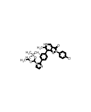 CCOC(O[Si](C)(C)C)n1ccnc1-c1ccc(-c2c3nn(-c4ccc(Cl)cc4)c(=O)c-3c[nH]c2C)cc1